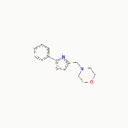 [c]1ccc(-c2nc(CN3CCOCC3)cs2)cc1